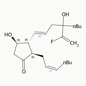 C=C(F)C(O)(C/C=C/[C@H]1[C@H](O)CC(=O)[C@@H]1C/C=C\CCCC)CCCC